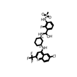 CS(=O)(=O)Nc1cccc(C(O)N[C@@H]2CCC[C@H](Nc3cc(C(F)(F)F)nc4ccc(Cl)cc34)C2)c1F